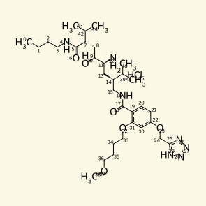 CCCCNC(=O)[C@@H](C[C@H](O)[C@@H](N)C[C@H](CNC(=O)c1ccc(OCc2nnn[nH]2)cc1OCCCCOC)C(C)C)C(C)C.Cl